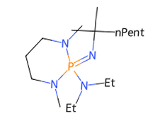 CCCCCC(C)(C)N=P1(N(CC)CC)N(C)CCCN1C